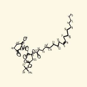 CCCCCCCC/C=C\CCCCCCCC(=O)O[C@@H](CC(=O)OC(C)(C)C)C(=O)ON1C(=O)CCC1=O